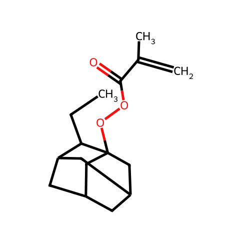 C=C(C)C(=O)OOC12CC3CC(CC(C3)C1CC)C2